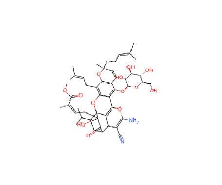 COC(=O)/C(C)=C\CC1(O)C(=O)C2CC(C(C)C)C13Oc1c(CC=C(C)C)c4c(c(O[C@@H]5O[C@H](CO)[C@@H](O)[C@H](O)[C@H]5O)c1C1=C3C2C(C#N)=C(N)O1)C=CC(C)(CCC=C(C)C)O4